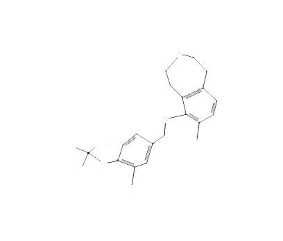 CC(C)(C)Sc1ccc(CNc2c(Cl)ccc3c2CCNCC3)cc1Cl